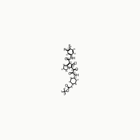 CC(C)(C)OC(=O)C[C@H]1CC[C@@H](NC(=O)C(=O)c2c(Cl)c(C(=O)Nc3ccc(F)c(F)c3)c3n2CCC3)CC1